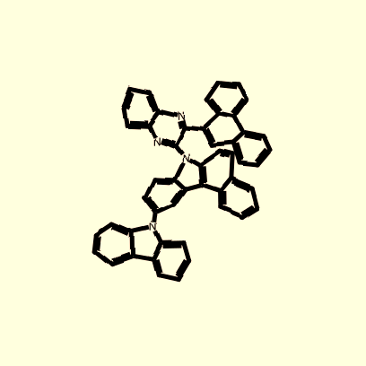 c1ccc2c(c1)cc(-c1nc3ccccc3nc1-n1c3ccc(-n4c5ccccc5c5ccccc54)cc3c3c4ccccc4ccc31)c1ccccc12